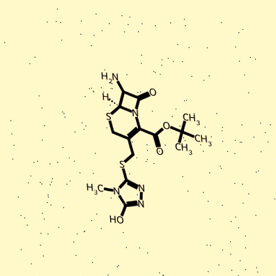 Cn1c(O)nnc1SCC1=C(C(=O)OC(C)(C)C)N2C(=O)C(N)[C@@H]2SC1